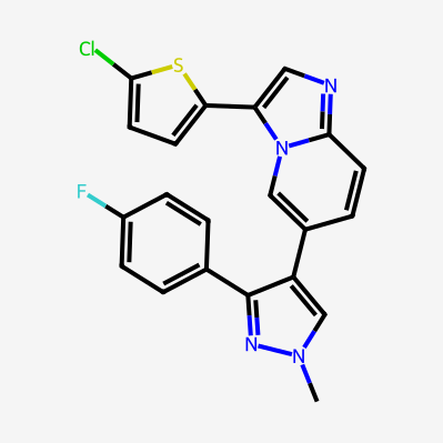 Cn1cc(-c2ccc3ncc(-c4ccc(Cl)s4)n3c2)c(-c2ccc(F)cc2)n1